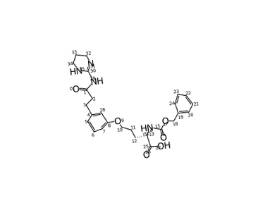 O=C(CCc1cccc(OCCC[C@H](NC(=O)OCc2ccccc2)C(=O)O)c1)NC1=NCCCN1